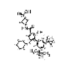 Cn1c(C(=O)N[C@H]2C[C@H](C(=O)O)C2)cc(CC2CCCCC2)c1-c1cc(C(C)(C)C)cc(C2(C)CC2)c1